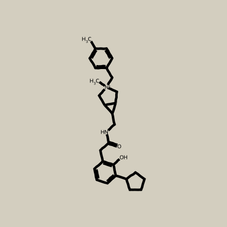 Cc1ccc(C[N+]2(C)CC3C(CNC(=O)Cc4cccc(C5CCCC5)c4O)C3C2)cc1